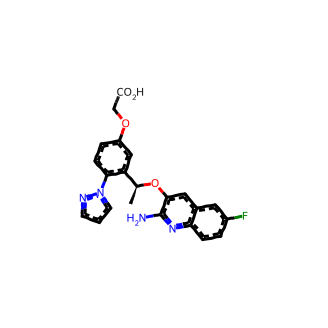 C[C@H](Oc1cc2cc(F)ccc2nc1N)c1cc(OCC(=O)O)ccc1-n1cccn1